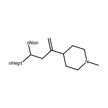 C=C(CC(CCCCCCC)CCCCCCCCC)C1CCN(C)CC1